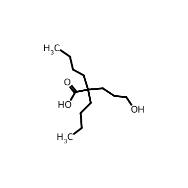 CCCCC(CCCC)(CCCO)C(=O)O